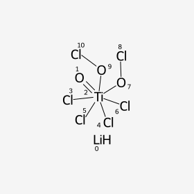 [LiH].[O]=[Ti]([Cl])([Cl])([Cl])([Cl])([O]Cl)[O]Cl